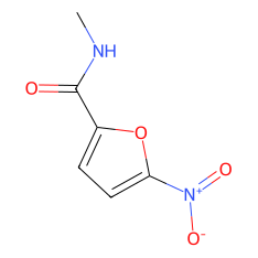 CNC(=O)c1ccc([N+](=O)[O-])o1